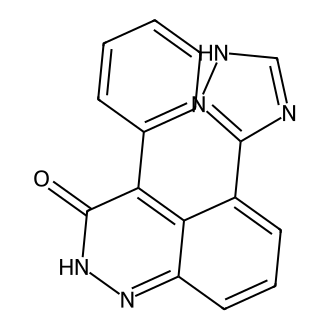 O=c1[nH]nc2cccc(-c3nc[nH]n3)c2c1-c1ccccc1